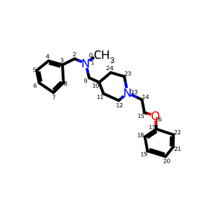 CN(Cc1ccccc1)CC1CCN(CCOc2ccccc2)CC1